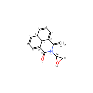 C=C1C2=CC=CC3C=CC=C(C(=O)N1C1CO1)C23